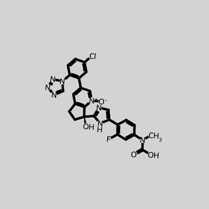 CN(C(=O)O)c1ccc(-c2cnc([C@]3(O)CCc4cc(-c5cc(Cl)ccc5-n5cnnn5)c[n+]([O-])c43)[nH]2)c(F)c1